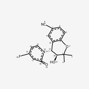 CC1(C)Oc2ccc(C#N)cc2[C@@H](n2ccc(F)cc2=O)[C@@H]1O